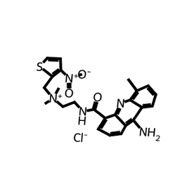 Cc1cccc2c(N)c3cccc(C(=O)NCC[N+](C)(C)Cc4sccc4[N+](=O)[O-])c3nc12.[Cl-]